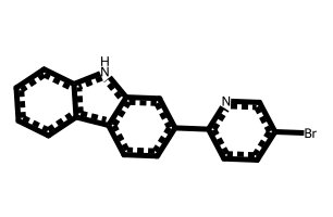 Brc1ccc(-c2ccc3c(c2)[nH]c2ccccc23)nc1